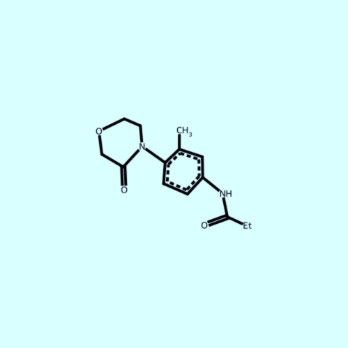 CCC(=O)Nc1ccc(N2CCOCC2=O)c(C)c1